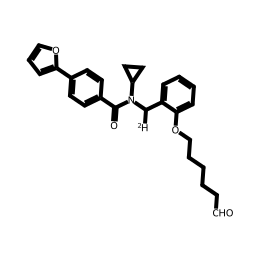 [2H]C(c1ccccc1OCCCCCC=O)N(C(=O)c1ccc(-c2ccco2)cc1)C1CC1